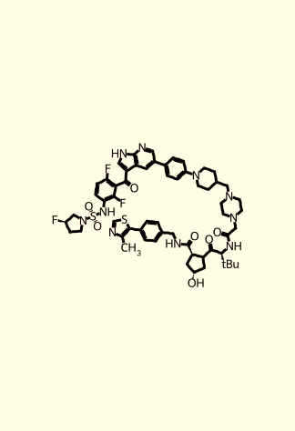 Cc1ncsc1-c1ccc(CNC(=O)[C@@H]2C[C@@H](O)CC2C(=O)[C@@H](NC(=O)CN2CCN(CC3CCN(c4ccc(-c5cnc6[nH]cc(C(=O)c7c(F)ccc(NS(=O)(=O)N8CC[C@@H](F)C8)c7F)c6c5)cc4)CC3)CC2)C(C)(C)C)cc1